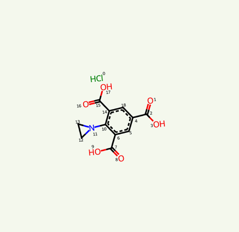 Cl.O=C(O)c1cc(C(=O)O)c(N2CC2)c(C(=O)O)c1